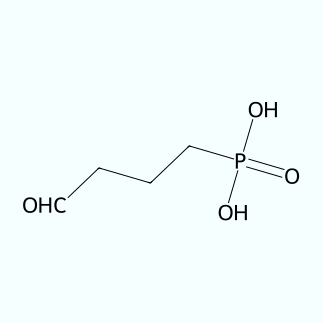 O=CCCCP(=O)(O)O